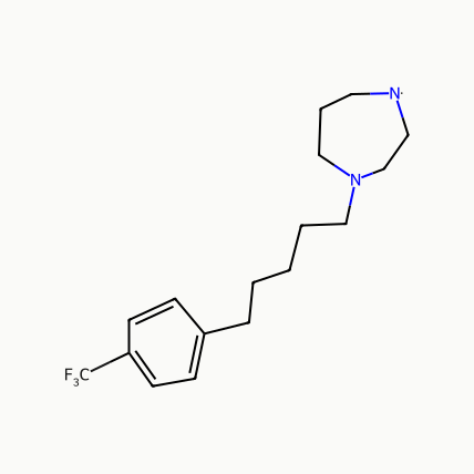 FC(F)(F)c1ccc(CCCCCN2CCC[N]CC2)cc1